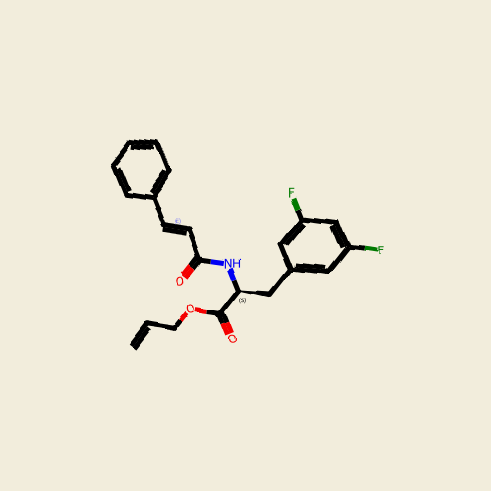 C=CCOC(=O)[C@H](Cc1cc(F)cc(F)c1)NC(=O)/C=C/c1ccccc1